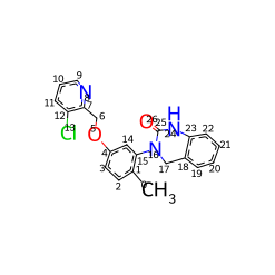 Cc1ccc(OCc2ncccc2Cl)cc1N1Cc2ccccc2NC1=O